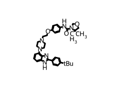 CC(C)(C)c1ccc(-c2nc3c(N4CCN(CCOc5ccc(NC(=O)N6COCC6(C)C)cc5)CC4)cccc3[nH]2)cc1